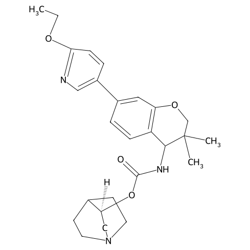 CCOc1ccc(-c2ccc3c(c2)OCC(C)(C)C3NC(=O)O[C@H]2CN3CCC2CC3)cn1